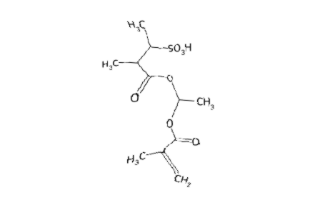 C=C(C)C(=O)OC(C)OC(=O)C(C)C(C)S(=O)(=O)O